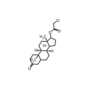 C[C@]12CCC(=O)CC1CC[C@@H]1[C@H]2CC[C@]2(C)C(OC(=O)CCl)CC[C@@H]12